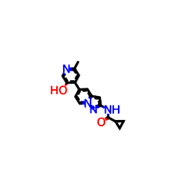 Cc1cc(-c2ccn3nc(NC(=O)C4CC4)cc3c2)c(O)cn1